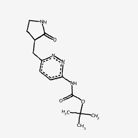 CC(C)(C)OC(=O)Nc1ccc(CC2CCNC2=O)nn1